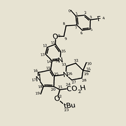 Cc1cc(F)ccc1CCOc1ccc(-c2cnc(C)c(C(OC(C)(C)C)C(=O)O)c2N2CCC(C)(C)CC2)nc1